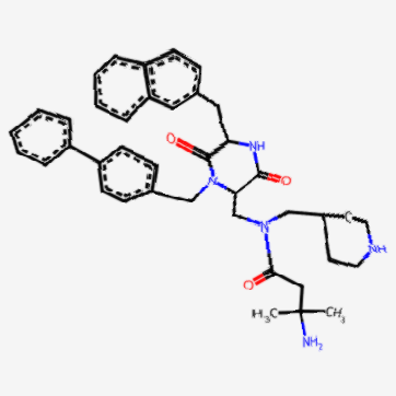 CC(C)(N)CC(=O)N(CC1CCNCC1)CC1C(=O)NC(Cc2ccc3ccccc3c2)C(=O)N1Cc1ccc(-c2ccccc2)cc1